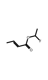 CC=CC(=O)O[C](C)F